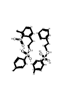 Cc1ccc(S(=O)(=O)OCCc2cccc(C)c2[N+](=O)[O-])cc1.Cc1ccc(S(=O)(=O)OCCc2ccccc2)cc1